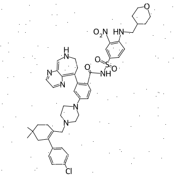 CC1(C)CCC(CN2CCN(c3ccc(C(=O)NS(=O)(=O)c4ccc(NCC5CCOCC5)c([N+](=O)[O-])c4)c(C4=c5nccnc5=CNCC4)c3)CC2)=C(c2ccc(Cl)cc2)C1